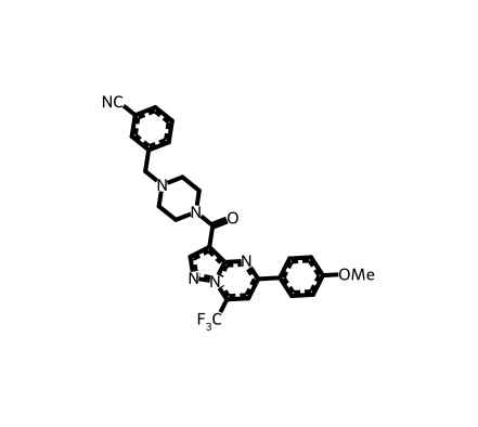 COc1ccc(-c2cc(C(F)(F)F)n3ncc(C(=O)N4CCN(Cc5cccc(C#N)c5)CC4)c3n2)cc1